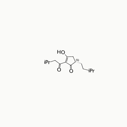 CC(C)CC[C@H]1CC(O)=C(C(=O)CC(C)C)C1=O